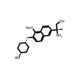 COc1c(O[C@H]2CC[C@H](C(C)(C)C)CC2)ccc2cc([C@@](C)(N)CO)ccc12